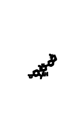 COc1cccc(C(C)Nc2cc(-c3ccc4ccn(C)c4c3)nc(C)n2)c1